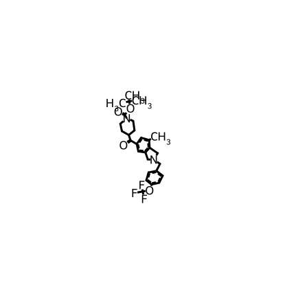 Cc1cc(C(=O)C2CCN(C(=O)OC(C)(C)C)CC2)cc2c1CN(Cc1ccc(OC(F)(F)F)cc1)C2